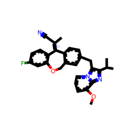 COc1cccn2c(Cc3ccc4c(c3)COc3cc(F)ccc3/C4=C(/C)C#N)c(C(C)C)nc12